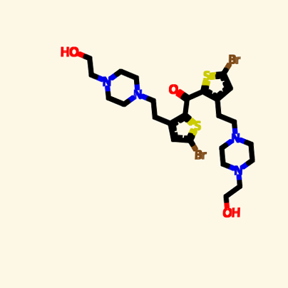 O=C(c1sc(Br)cc1CCN1CCN(CCO)CC1)c1sc(Br)cc1CCN1CCN(CCO)CC1